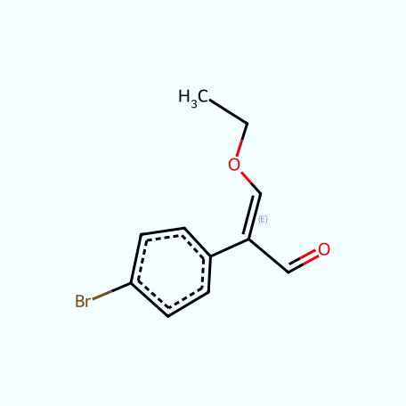 CCO/C=C(/C=O)c1ccc(Br)cc1